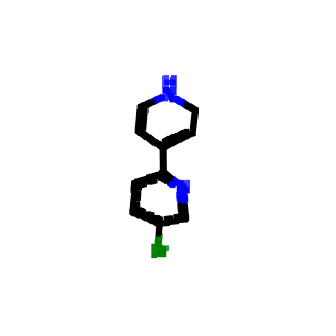 Brc1ccc(C2=CCNC=C2)nc1